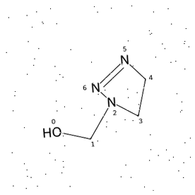 OCN1CCN=N1